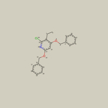 CCc1c(OCc2ccccc2)cc(OCc2ccccc2)nc1Cl